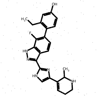 CCc1cc(O)ccc1-c1ccc2c(-c3nc(C4=CCCNC4C)c[nH]3)n[nH]c2c1F